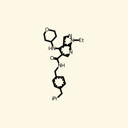 CCn1ncc2c(NC3CCOCC3)c(C(=O)NCc3ccc(CC(C)C)cc3)cnc21